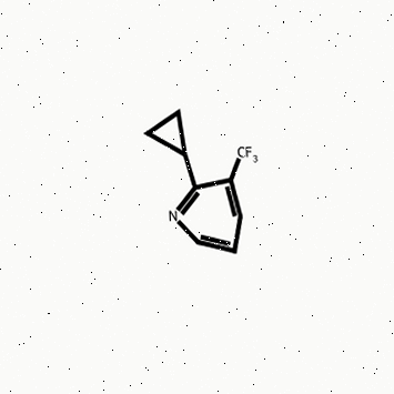 FC(F)(F)c1cccnc1C1CC1